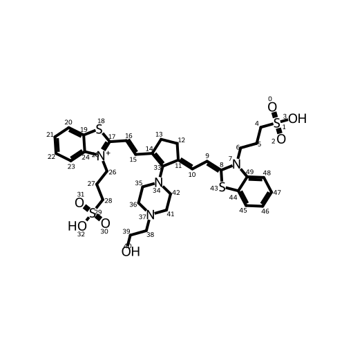 O=S(=O)(O)CCCN1/C(=C/C=C2\CCC(/C=C/c3sc4ccccc4[n+]3CCCS(=O)(=O)O)=C2N2CCN(CCO)CC2)Sc2ccccc21